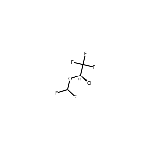 FC(F)O[C@H](Cl)C(F)(F)F